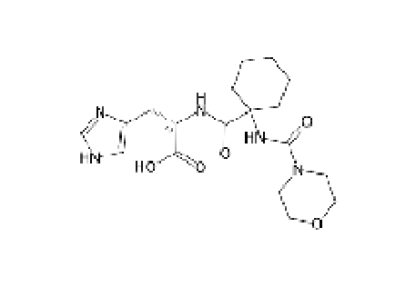 O=C(O)[C@H](Cc1c[nH]cn1)NC(=O)C1(NC(=O)N2CCOCC2)CCCCC1